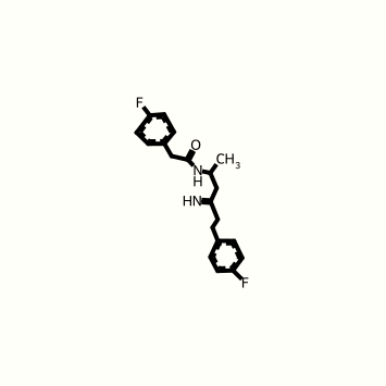 CC(CC(=N)CCc1ccc(F)cc1)NC(=O)Cc1ccc(F)cc1